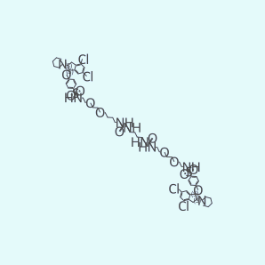 O=C(NCCCCNC(=O)NCCOCCOCCNS(=O)(=O)c1ccc(O[C@H]2c3cc(Cl)cc(Cl)c3C[C@@H]2N2CCCCC2)cc1)NCCCCOCCOCCNS(=O)(=O)c1ccc(O[C@H]2c3cc(Cl)cc(Cl)c3C[C@@H]2N2CCCCC2)cc1